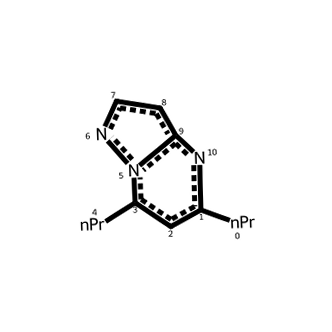 CCCc1cc(CCC)n2nccc2n1